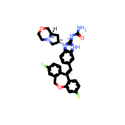 NC(=O)/N=c1\[nH]c2cc(/C=C3\c4ccc(F)cc4COc4cc(F)ccc43)ccc2n1[C@H]1C[C@@H]2COCCN2C1